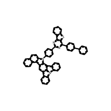 c1ccc(-c2ccc(-c3nc(-c4ccc(-n5c6ccc7ccccc7c6c6cc7c8ccccc8n8c9ccccc9c(c65)c78)cc4)nc4c3sc3ccccc34)cc2)cc1